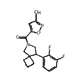 O=C(c1cc(O)no1)N1CC(c2cccc(F)c2F)C2(CCC2)C1